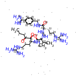 CCCC(=O)C(=O)[C@H](CCCNC(N)N)NC(=O)[C@@H](NN[C@@H](CCCNC(N)N)C(=O)NCc1ccc(C(=N)N)cc1)C(C)C